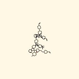 C=CC1=CC=C(NC2=CCC(C3CCC(C=C)CC3)CC2C2=CCCC(C3CCC(N(C4C=CC(F)=CC4)C4CCC5=C(C4)C(C4=CCC(CCC6CCC(C=C)CC6)CC4)(C4CC(C)CCC4C)C4=C5CCC=C4)CC3)=C2)CC1